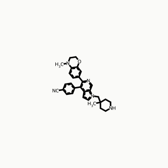 CN1CCOc2cc(-c3ncc4c(ccn4CC4(C)CCNCC4)c3-c3ccc(C#N)cc3)ccc21